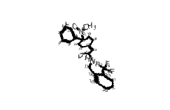 CN(C)C1(c2ccccc2)CCC(=CC(=O)NCc2ccccc2C(F)(F)F)CC1